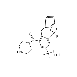 Cl.O=C(c1cc(C(F)(F)F)cc(C(F)(F)F)c1Cc1ccccc1)N1CCNCC1